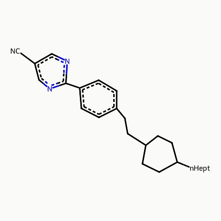 CCCCCCCC1CCC(CCc2ccc(-c3ncc(C#N)cn3)cc2)CC1